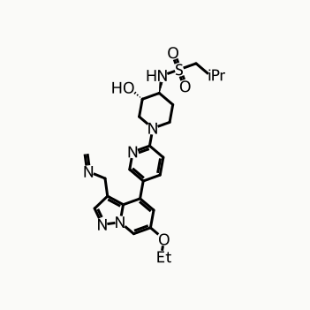 C=NCc1cnn2cc(OCC)cc(-c3ccc(N4CC[C@H](NS(=O)(=O)CC(C)C)[C@@H](O)C4)nc3)c12